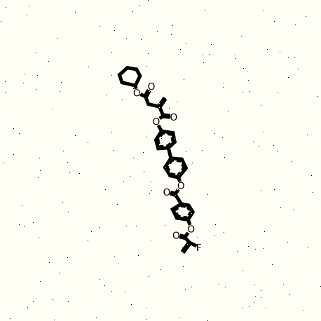 C=C(F)C(=O)Oc1ccc(C(=O)Oc2ccc(-c3ccc(OC(=O)C(=C)CC(=O)OC4CCCCC4)cc3)cc2)cc1